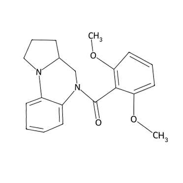 COc1cccc(OC)c1C(=O)N1CC2CCCN2c2ccccc21